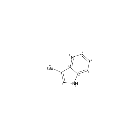 CC(C)(C)c1c[nH]c2cccnc12